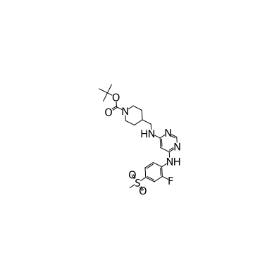 CC(C)(C)OC(=O)N1CCC(CNc2cc(Nc3ccc(S(C)(=O)=O)cc3F)ncn2)CC1